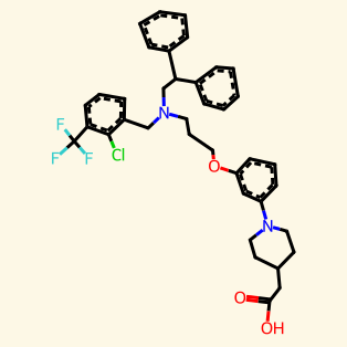 O=C(O)CC1CCN(c2cccc(OCCCN(Cc3cccc(C(F)(F)F)c3Cl)CC(c3ccccc3)c3ccccc3)c2)CC1